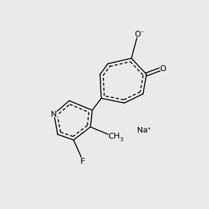 Cc1c(F)cncc1-c1ccc([O-])c(=O)cc1.[Na+]